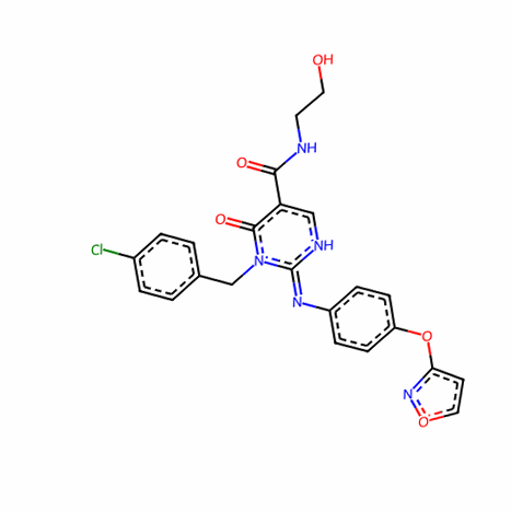 O=C(NCCO)c1c[nH]/c(=N\c2ccc(Oc3ccon3)cc2)n(Cc2ccc(Cl)cc2)c1=O